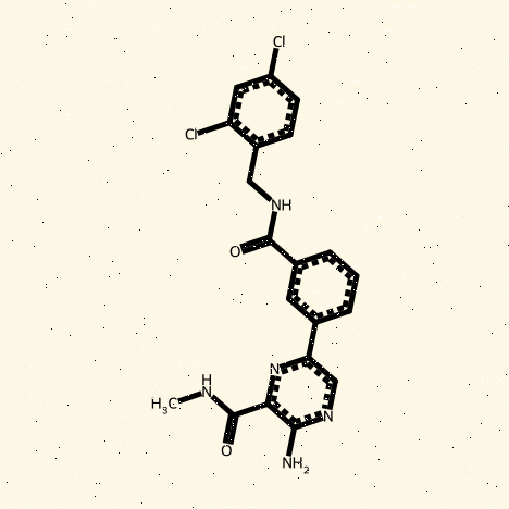 CNC(=O)c1nc(-c2cccc(C(=O)NCc3ccc(Cl)cc3Cl)c2)cnc1N